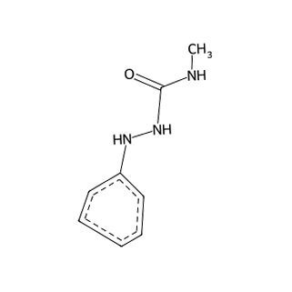 CNC(=O)NNc1ccccc1